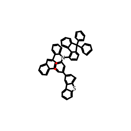 c1ccc(C2(c3ccccc3)c3ccccc3-c3c(N(c4cccc(-c5ccc6sc7ccccc7c6c5)c4)c4ccccc4-c4ccc5ccccc5c4)cccc32)cc1